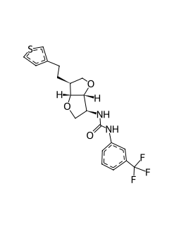 O=C(Nc1cccc(C(F)(F)F)c1)N[C@H]1CO[C@@H]2[C@@H](CCc3ccsc3)CO[C@@H]21